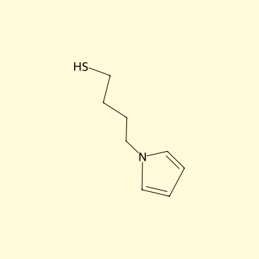 SCCCCn1cccc1